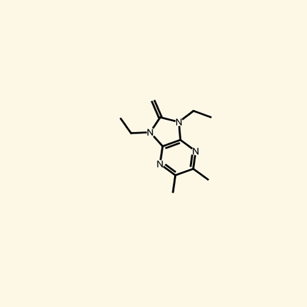 C=C1N(CC)c2nc(C)c(C)nc2N1CC